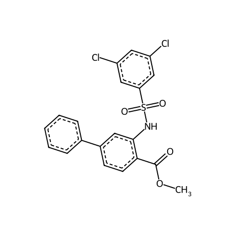 COC(=O)c1ccc(-c2ccccc2)cc1NS(=O)(=O)c1cc(Cl)cc(Cl)c1